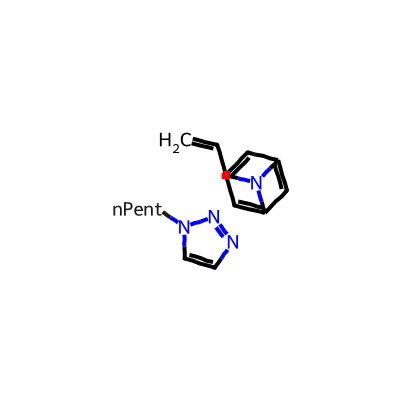 C=CCN1c2cccc1c2.CCCCCn1ccnn1